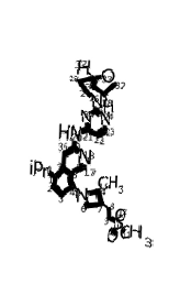 CC(C)c1ccc(N2C[C@H](CCS(C)(=O)=O)[C@H]2C)c2cnc(Nc3ccnc(N4CC[C@@H]5C[C@H]4CO5)n3)cc12